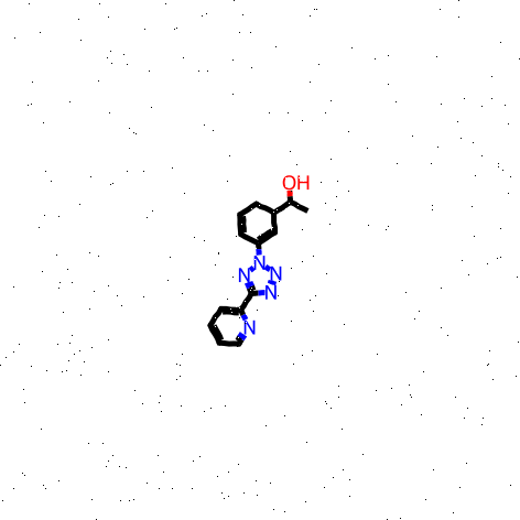 CC(O)C1C=C(n2nnc(-c3ccccn3)n2)C=CC1